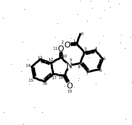 CC(=O)c1ccccc1N1C(=O)c2ccccc2C1=O